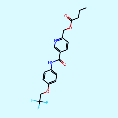 CCCC(=O)OCc1ccc(C(=O)Nc2ccc(OCC(F)(F)F)cc2)cn1